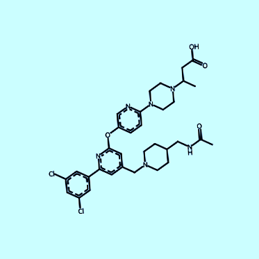 CC(=O)NCC1CCN(Cc2cc(Oc3ccc(N4CCN(C(C)CC(=O)O)CC4)nc3)nc(-c3cc(Cl)cc(Cl)c3)c2)CC1